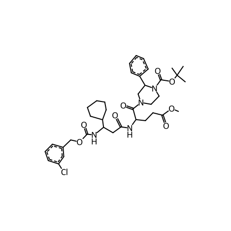 COC(=O)CCC(NC(=O)CC(NC(=O)OCc1cccc(Cl)c1)C1CCCCC1)C(=O)N1CCN(C(=O)OC(C)(C)C)C(c2ccccc2)C1